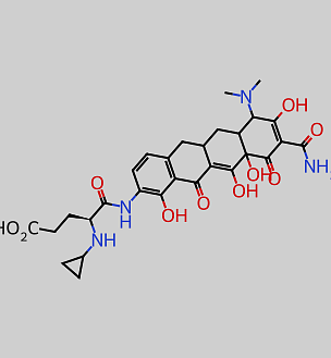 CN(C)C1C(O)=C(C(N)=O)C(=O)C2(O)C(O)=C3C(=O)c4c(ccc(NC(=O)[C@H](CCC(=O)O)NC5CC5)c4O)CC3CC12